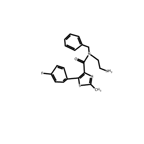 Cc1nc(C(=O)N(CCN)Cc2ccccc2)c(-c2ccc(F)cc2)s1